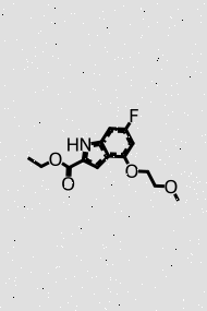 CCOC(=O)c1cc2c(OCCOC)cc(F)cc2[nH]1